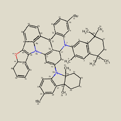 Cc1cc2c(cc1N1c3cc(C(C)(C)C)ccc3B3C4=C(C=C(N5c6ccc(C(C)(C)C)cc6C6(C)CCCCC56C)CC41)n1c4c(c5cccc3c51)OC1CC=CC=C41)C(C)(C)CCC2(C)C